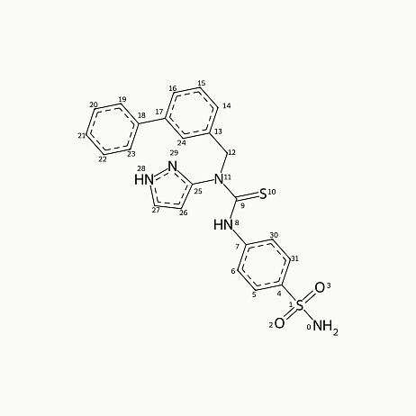 NS(=O)(=O)c1ccc(NC(=S)N(Cc2cccc(-c3ccccc3)c2)c2cc[nH]n2)cc1